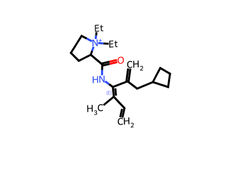 C=C/C(C)=C(/NC(=O)C1CCC[N+]1(CC)CC)C(=C)CC1CCC1